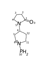 O=C1CCCN1C1CCN(P)CC1